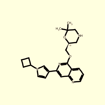 CC1(C)CNC[C@@H](COc2nc(-c3ccn(C4CCC4)c3)cc3ncccc23)O1